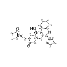 O=C(O)c1c(CN2CCN(CCN3CCCC3=O)C(=O)C2)c(-c2cccs2)nc2ccccc12